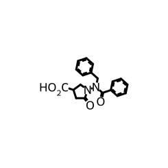 O=C(O)C1CC(=O)N(N(Cc2ccccc2)C(=O)c2ccccc2)C1